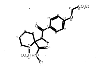 CCNC(=O)C1(C(C)C(=O)c2ccc(OCC(=O)OCC)cc2)CCCCN1C(=O)O